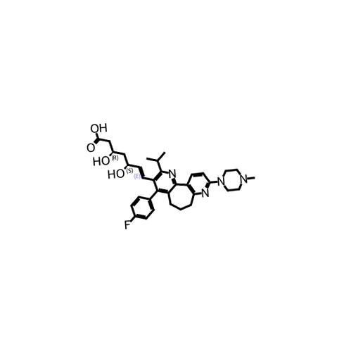 CC(C)c1nc2c(c(-c3ccc(F)cc3)c1/C=C/[C@@H](O)C[C@@H](O)CC(=O)O)CCCc1nc(N3CCN(C)CC3)ccc1-2